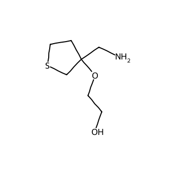 NCC1(OCCO)CCSC1